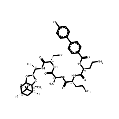 CC(C)C[C@H](NC(=O)[C@H](C)NC(=O)[C@H](CCN)NC(=O)[C@H](CCN)NC(=O)c1ccc(-c2ccc(Cl)cc2)cc1)C(=O)N[C@@H](C)B1OC2C[C@@H]3C[C@@H](C3(C)C)[C@]2(C)O1